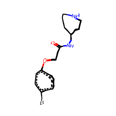 CCc1ccc(OCC(=O)NC2CCNCC2)cc1